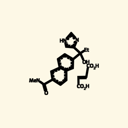 CCC(O)(c1ccc2cc(C(=O)NC)ccc2c1)c1c[nH]cn1.O=C(O)C=CC(=O)O